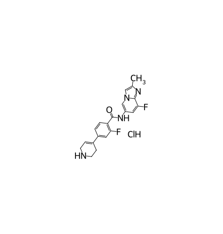 Cc1cn2cc(NC(=O)c3ccc(C4=CCNCC4)cc3F)cc(F)c2n1.Cl